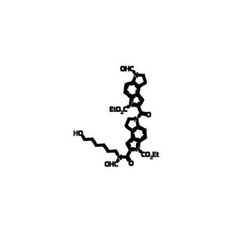 CCOC(=O)n1c(C(=O)N2CCc3c2ccc2c3cc(C(=O)N(C=O)CCCCCCO)n2C(=O)OCC)cc2c3c(ccc21)N(C=O)CC3